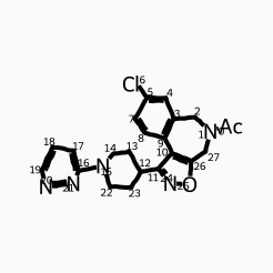 CC(=O)N1Cc2cc(Cl)ccc2-c2c(C3CCN(c4cccnn4)CC3)noc2C1